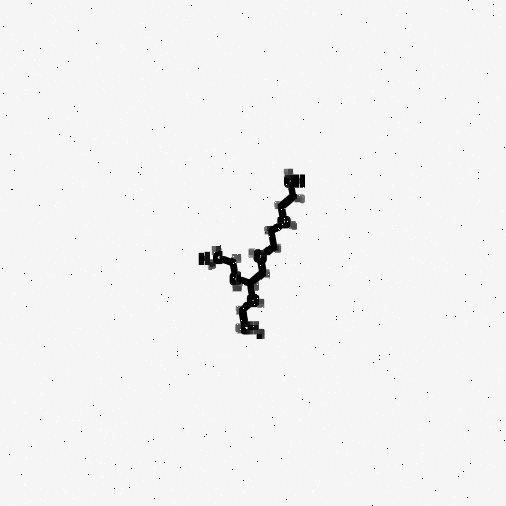 C=COC(COCCOCCO)OCC